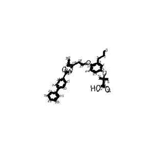 CCCc1cc(OC(C)(C)C(=O)O)ccc1OCCc1nc(-c2ccc(-c3ccccc3)cc2)oc1C